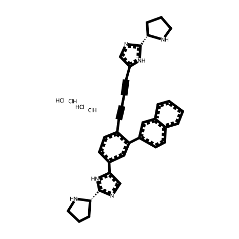 C(C#Cc1ccc(-c2cnc([C@@H]3CCCN3)[nH]2)cc1-c1ccc2ccccc2c1)#Cc1cnc([C@@H]2CCCN2)[nH]1.Cl.Cl.Cl.Cl